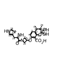 C[C@@H]1c2ccc(OC3CN(C(=O)[C@@H](N)Cc4c[nH]cn4)C3)c(C(=O)O)c2O[B-](O)(O)[C@@H]1C